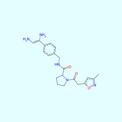 Cc1cc(CC(=O)N2CCCC2C(=O)NCc2ccc(/C(N)=C/N)cc2)on1